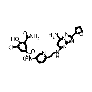 NC(=O)c1cc(S(=O)(=O)Nc2ccc(CCNc3cc(N)n4nc(-c5ccco5)nc4n3)nc2)cc(Cl)c1O